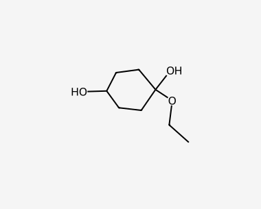 CCOC1(O)CCC(O)CC1